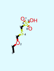 CCOCSCS(=O)(=O)O